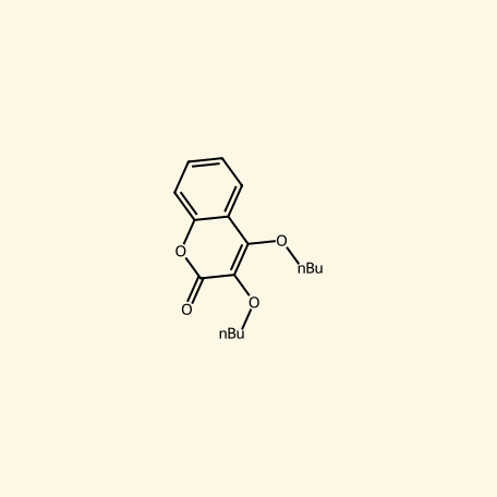 CCCCOc1c(OCCCC)c2ccccc2oc1=O